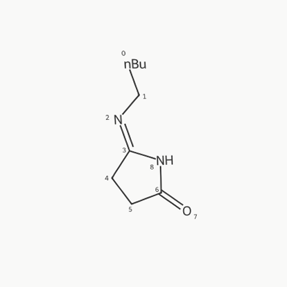 CCCCCN=C1CCC(=O)N1